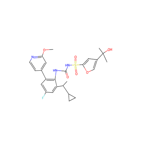 COc1cc(-c2cc(F)cc(C(C)C3CC3)c2NC(=O)NS(=O)(=O)c2cc(C(C)(C)O)co2)ccn1